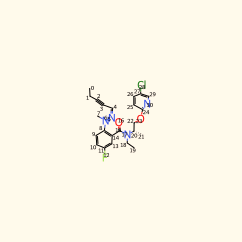 CCC#C/C=N\N(C)c1ccc(F)cc1C(=O)N(CC)[C@@H](C)COc1ccc(Cl)cn1